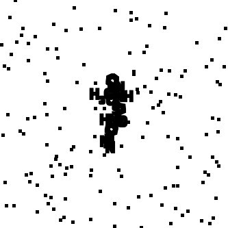 Cn1c(NC(=O)c2ccc(C(=O)Nc3ccc(-n4cncn4)cc3)s2)nc2ccccc21